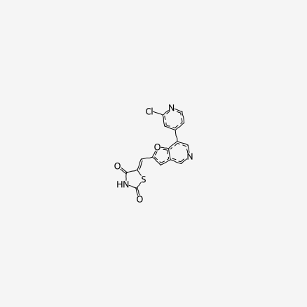 O=C1NC(=O)/C(=C/c2cc3cncc(-c4ccnc(Cl)c4)c3o2)S1